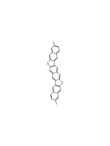 Cc1ccc2cc3c(cc2c1)sc1cc2cc4c(cc2cc13)sc1cc2cc(C)ccc2cc14